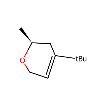 C[C@H]1CC(C(C)(C)C)=CCO1